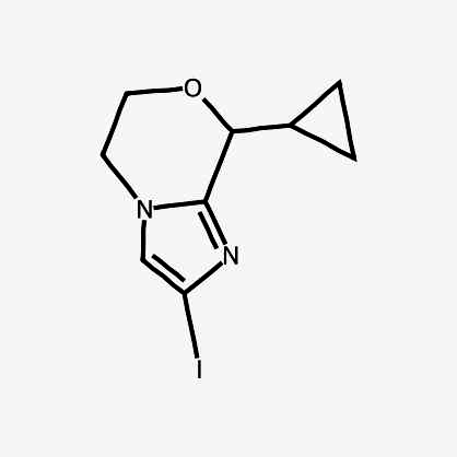 Ic1cn2c(n1)C(C1CC1)OCC2